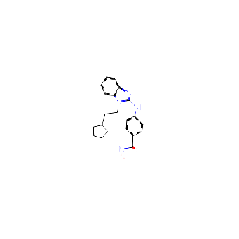 O=C(NO)c1ccc(Nc2nc3ccccc3n2CCC2CCCC2)cc1